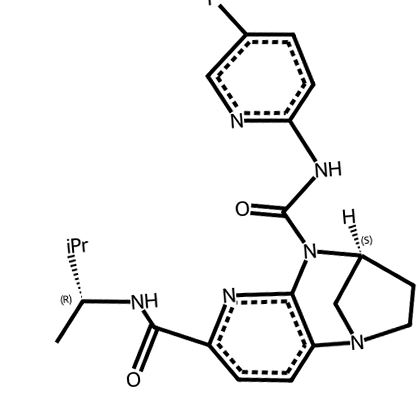 CC(C)[C@@H](C)NC(=O)c1ccc2c(n1)N(C(=O)Nc1ccc(F)cn1)[C@H]1CCN2C1